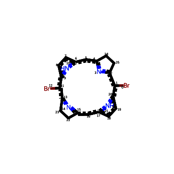 Brc1c2nc(cc3ccc([nH]3)c(Br)c3nc(cc4ccc1[nH]4)CC3)CC2